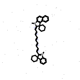 CN1/C(=C/C=C/C=C/C=C/C=C/C2=[N+](C)c3ccccc3C23CCCCC3)C2(CCCCC2)c2c1ccc1ccccc21